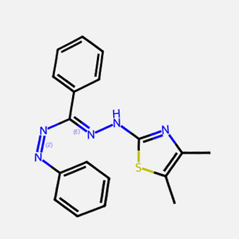 Cc1nc(N/N=C(/N=N\c2ccccc2)c2ccccc2)sc1C